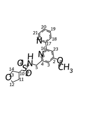 COc1cc(CNS(=O)(=O)C2CCOC2)nc(-c2ccccn2)c1